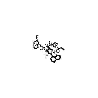 C=CC(=O)N1CCC(N(C)c2nc(OC[C@@]34CCCN3C[C@@H](F)C4)nc3c(F)c(-c4cccc5cccc(Cl)c45)ncc23)C1